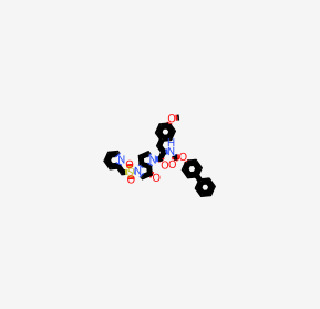 COc1ccc(CC(NC(=O)Oc2ccc(-c3ccccc3)cc2)C(=O)N2CCC3C2C(=O)CN3S(=O)(=O)Cc2ccccn2)cc1